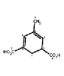 CC1=CC(C(=O)O)CC(C(=O)O)=C1